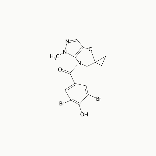 Cn1ncc2c1N(C(=O)c1cc(Br)c(O)c(Br)c1)CC1(CC1)O2